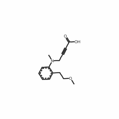 COCCc1ccccc1N(C)CC#CC(=O)O